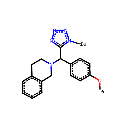 CC(C)Oc1ccc(C(c2nnnn2C(C)(C)C)N2CCc3ccccc3C2)cc1